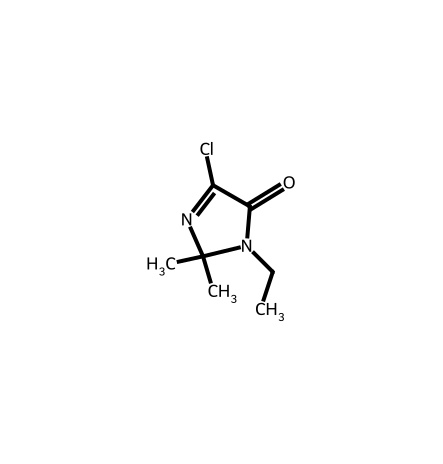 CCN1C(=O)C(Cl)=NC1(C)C